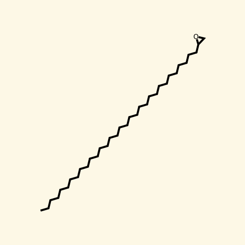 CCCCCCCCCCCCCCCCCCCCCCCCCCCCCCCCC1CO1